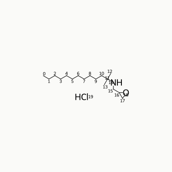 CCCCCCCCCCCC(C)(C)NCC1CO1.Cl